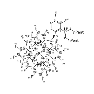 CCCC(C)C[PH+](CC(C)CCC)c1cccc(F)c1F.CCc1c(F)c(F)c(F)c2c(F)c(F)c(F)c([B-](c3c(F)c(F)c(F)c4c(F)c(F)c(F)c(CC)c34)(c3c(F)c(F)c(F)c4c(F)c(F)c(F)c(CC)c34)c3c(F)c(F)c(F)c4c(F)c(F)c(F)c(CC)c34)c12